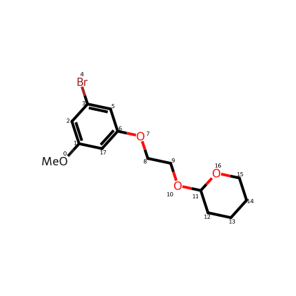 COc1cc(Br)cc(OCCOC2CCCCO2)c1